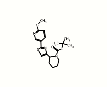 COc1ccc(-c2nc(C3CCCCN3C(=O)OC(C)(C)C)cs2)cn1